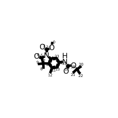 COC(=O)N1C(=O)C(C)(C)c2c(C)cc(NC(=O)OC(C)(C)C)cc21